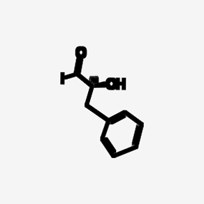 O=C(I)[C@@H](O)Cc1ccccc1